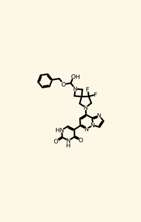 O=c1[nH]cc(-c2cc(N3CC(F)(F)C4(C3)CN(C(O)OCc3ccccc3)C4)c3nccn3n2)c(=O)[nH]1